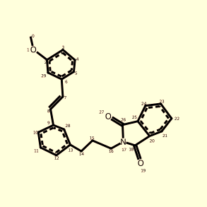 COc1cccc(C=Cc2cccc(CCCN3C(=O)c4ccccc4C3=O)c2)c1